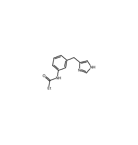 CCC(=O)Nc1cccc(Cc2c[nH]cn2)c1